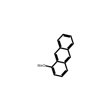 COc1cc[c]c2cc3ccccc3cc12